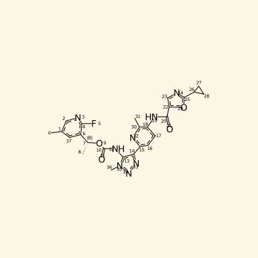 Cc1cnc(F)c([C@@H](C)OC(=O)Nc2c(-c3ccc(NC(=O)c4cnc(C5CC5)o4)c(C)n3)nnn2C)c1